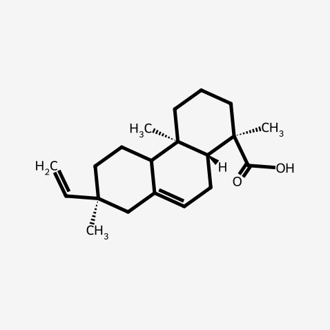 C=C[C@@]1(C)CCC2C(=CC[C@H]3[C@](C)(C(=O)O)CCC[C@]23C)C1